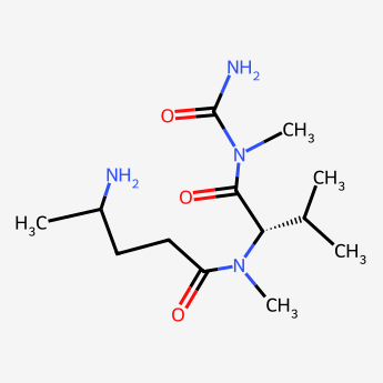 CC(N)CCC(=O)N(C)[C@H](C(=O)N(C)C(N)=O)C(C)C